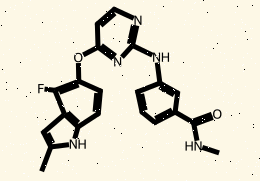 CNC(=O)c1cccc(Nc2nccc(Oc3ccc4[nH]c(C)cc4c3F)n2)c1